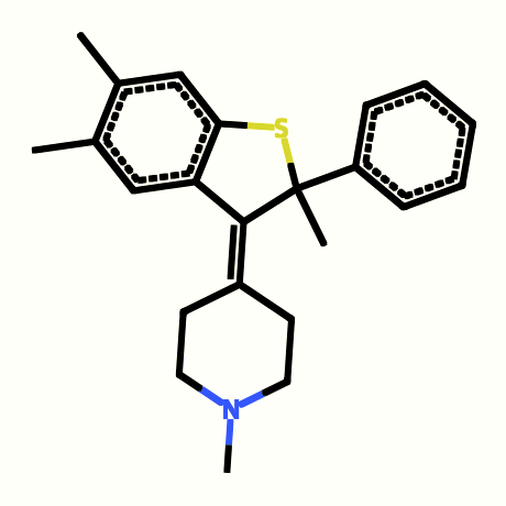 Cc1cc2c(cc1C)C(=C1CCN(C)CC1)C(C)(c1ccccc1)S2